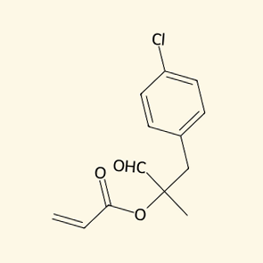 C=CC(=O)OC(C)(C=O)Cc1ccc(Cl)cc1